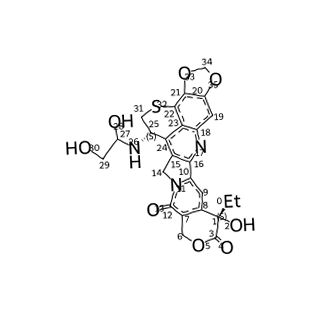 CC[C@@]1(O)C(=O)OCc2c1cc1n(c2=O)Cc2c-1nc1cc3c(c4c1c2[C@H](NC(O)CO)CS4)OCO3